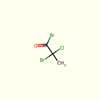 CC(Cl)(Br)C(=O)Br